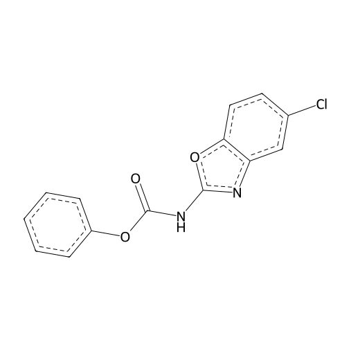 O=C(Nc1nc2cc(Cl)ccc2o1)Oc1ccccc1